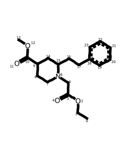 CCOC(=O)CN1CCC(C(=O)OC)CC1CCc1ccccc1